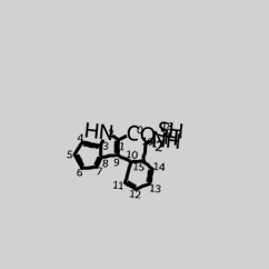 O=C(O)c1[nH]c2ccccc2c1C1C=CC=CC1CNS